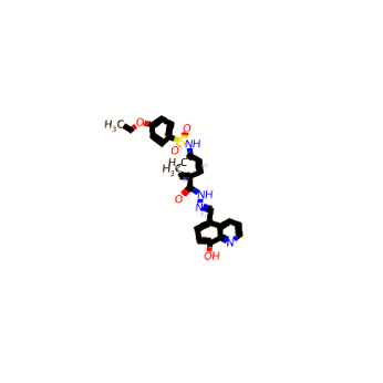 C=C(/C=C\C(=C/C)C(=O)N/N=C/c1ccc(O)c2ncccc12)NS(=O)(=O)c1ccc(OCC)cc1